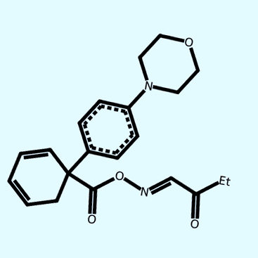 CCC(=O)C=NOC(=O)C1(c2ccc(N3CCOCC3)cc2)C=CC=CC1